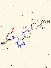 CCCc1ccc(=O)n(Cc2c(-c3ccc(N4CC[C@@H]([C@H](CC)C(=O)O)C4)c(CC)n3)nnn2C)c1